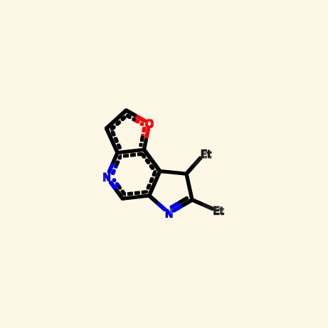 CCC1=Nc2cnc3ccoc3c2C1CC